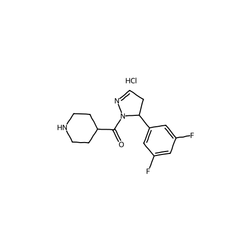 Cl.O=C(C1CCNCC1)N1N=CCC1c1cc(F)cc(F)c1